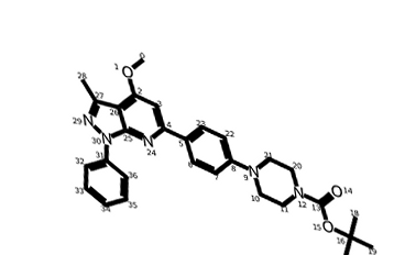 COc1cc(-c2ccc(N3CCN(C(=O)OC(C)(C)C)CC3)cc2)nc2c1c(C)nn2-c1ccccc1